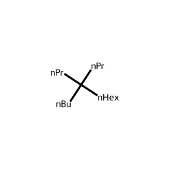 CCCCCCC(CCC)(CCC)CCCC